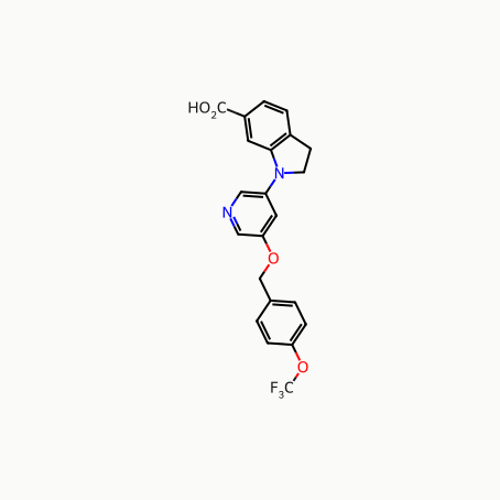 O=C(O)c1ccc2c(c1)N(c1cncc(OCc3ccc(OC(F)(F)F)cc3)c1)CC2